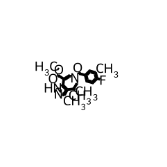 COC(=O)C1=CN(C(=O)c2ccc(F)c(C)c2)CC(C)(C)c2c(C)n[nH]c21